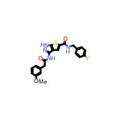 COc1cccc(CC(=O)Nc2n[nH]c3sc(C(=O)NCc4ccc(F)cc4)cc23)c1